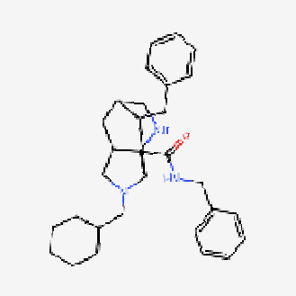 O=C(NCc1ccccc1)C12NCC3CC1CN(CC1CCCCC1)C2C3Cc1ccccc1